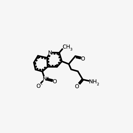 Cc1nc2cccc([N+](=O)[O-])c2cc1C(C=O)CCC(N)=O